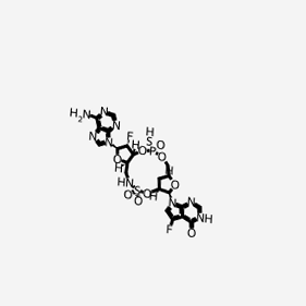 Nc1ncnc2c1ncn2[C@@H]1O[C@@H]2CNS(=O)(=O)O[C@@H]3C[C@@H](COP(=O)(S)O[C@H]2[C@H]1F)O[C@H]3n1cc(F)c2c(=O)[nH]cnc21